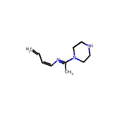 C=C/C=C\N=C(/C)N1CCNCC1